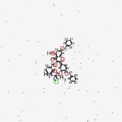 CC(C)(CCl)C(=O)Oc1cc(-c2oc3cc(OCc4ccccc4)cc(O)c3c(=O)c2OCc2ccccc2)ccc1OCc1ccccc1